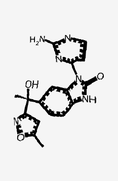 Cc1cc([C@](C)(O)c2ccc3[nH]c(=O)n(-c4ccnc(N)n4)c3c2)no1